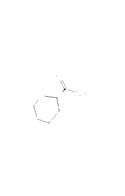 NC(=O)[C@H]1CCCCO1